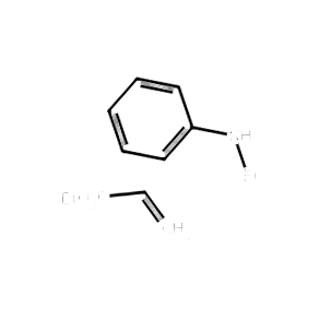 C=CC(=O)OCC.CCNc1ccccc1